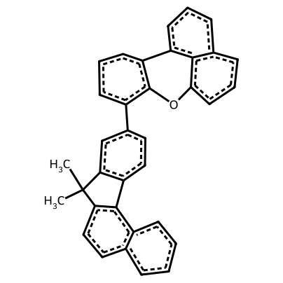 CC1(C)c2cc(-c3cccc4c3Oc3cccc5cccc-4c35)ccc2-c2c1ccc1ccccc21